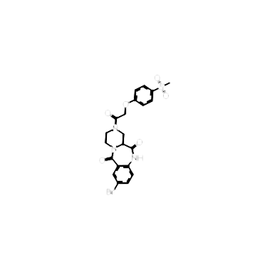 CS(=O)(=O)c1ccc(OCC(=O)N2CCN3C(=O)c4cc(Br)ccc4NC(=O)C3C2)cc1